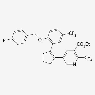 CCOC(=O)c1cc(C2=C(c3cc(C(F)(F)F)ccc3OCc3ccc(F)cc3)CCC2)cnc1C(F)(F)F